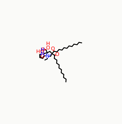 CCCCCCCCCCCC(=O)C1(C(=O)CCCCCCCCCCC)CC(C(=O)O)(C(=O)O)[N+](CC)(c2ccc[nH]2)C1